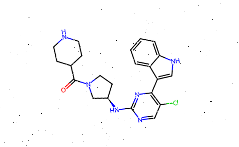 O=C(C1CCNCC1)N1CC[C@@H](Nc2ncc(Cl)c(-c3c[nH]c4ccccc34)n2)C1